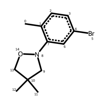 Cc1ccc(Br)cc1N1CC(C)(C)CO1